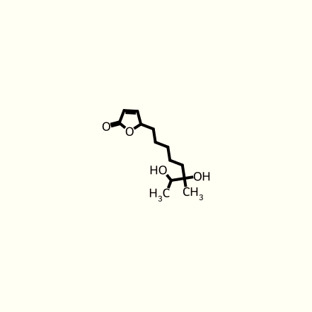 CC(O)C(C)(O)CCCCCC1C=CC(=O)O1